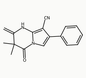 C=C1Nc2c(C#N)c(-c3ccccc3)cn2C(=O)C1(C)C